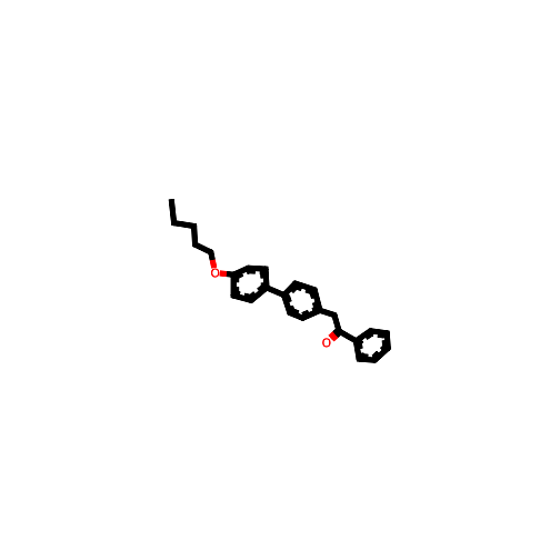 CCCCCOc1ccc(-c2ccc(CC(=O)c3ccccc3)cc2)cc1